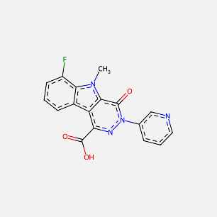 Cn1c2c(F)cccc2c2c(C(=O)O)nn(-c3cccnc3)c(=O)c21